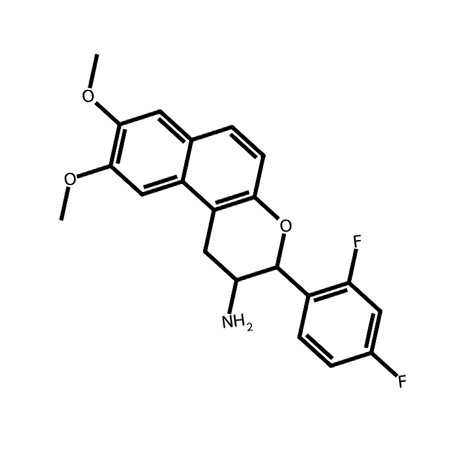 COc1cc2ccc3c(c2cc1OC)CC(N)C(c1ccc(F)cc1F)O3